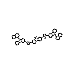 CC1(C)c2cc(-c3ccc(-c4ccc5c(c4)c4ccccc4n5-c4cccc5ccccc45)s3)ccc2-c2ccc(-c3ccc(-c4ccc5c(c4)c4ccccc4n5-c4cccc5ccccc45)s3)cc21